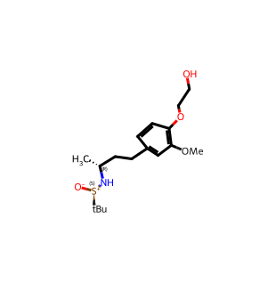 COc1cc(CC[C@@H](C)N[S@+]([O-])C(C)(C)C)ccc1OCCO